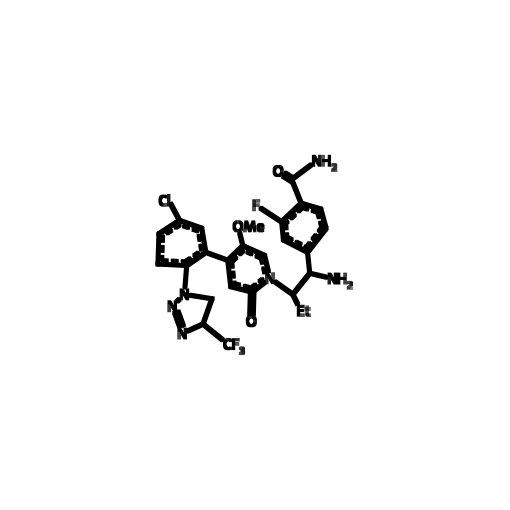 CCC(C(N)c1ccc(C(N)=O)c(F)c1)n1cc(OC)c(-c2cc(Cl)ccc2N2CC(C(F)(F)F)N=N2)cc1=O